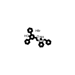 Br.N=c1n(CC(=O)c2cc(-c3ccccc3)c(O)c(-c3ccccc3)c2)c2ccccc2n1Cc1ccccc1